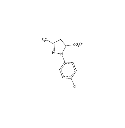 CCOC(=O)C1CC(C(F)(F)F)=NN1c1ccc(Cl)cc1